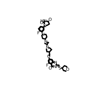 O=C1CCN(c2ccc(F)c(N3CCC(N4CC(N5CCC(COc6cc(F)c7c(=O)[nH]c(CSC8CCOCC8)nc7c6)CC5)C4)CC3)c2)C(=O)N1